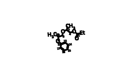 CCC(=O)OCC(C)OCC(C)Oc1ccccc1